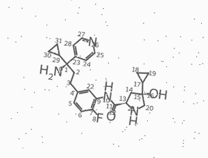 N[C@](CCc1ccc(F)c(NC(=O)[C@H]2C[C@](O)(C3CC3)CN2)c1)(c1ccncc1)C1CC1